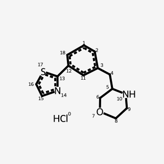 Cl.c1cc(CC2COCCN2)cc(-c2nccs2)c1